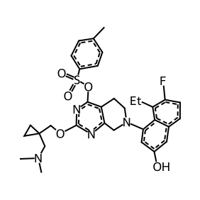 CCc1c(F)ccc2cc(O)cc(N3CCc4c(nc(OCC5(CN(C)C)CC5)nc4OS(=O)(=O)c4ccc(C)cc4)C3)c12